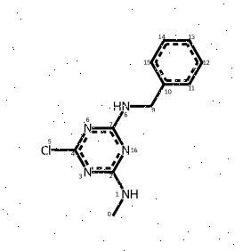 CNc1nc(Cl)nc(NCc2ccccc2)n1